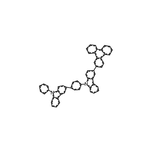 c1ccc(-n2c3ccccc3c3cc(-c4ccc(-n5c6ccccc6c6cc(-c7ccc8c9ccccc9c9ccccc9c8c7)ccc65)cc4)ccc32)cc1